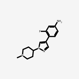 CN1CCC(n2cc(-c3ccc(N)cc3F)cn2)CC1